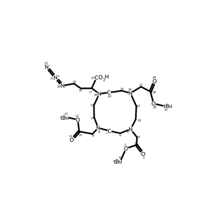 CC(C)(C)OC(=O)CN1CCN(CC(=O)OC(C)(C)C)CCN(C(CCN=[N+]=[N-])C(=O)O)CCN(CC(=O)OC(C)(C)C)CC1